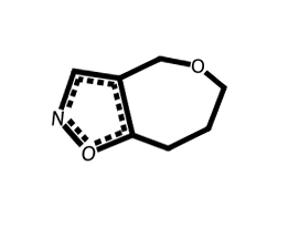 c1noc2c1COCCC2